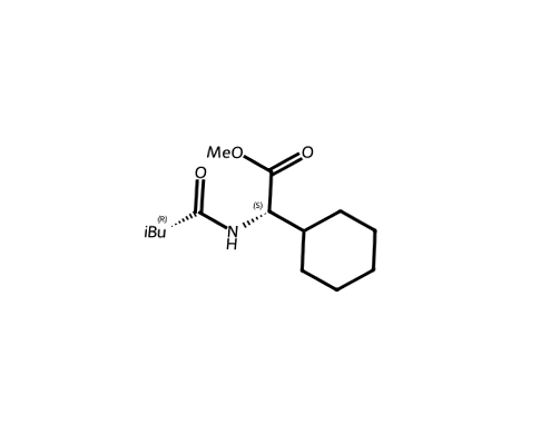 CC[C@@H](C)C(=O)N[C@H](C(=O)OC)C1CCCCC1